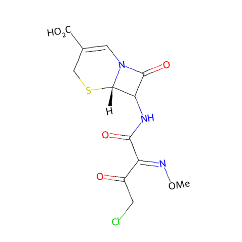 CON=C(C(=O)CCl)C(=O)NC1C(=O)N2C=C(C(=O)O)CS[C@@H]12